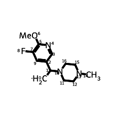 [CH2]C(c1cnc(OC)c(F)c1)N1CCN(C)CC1